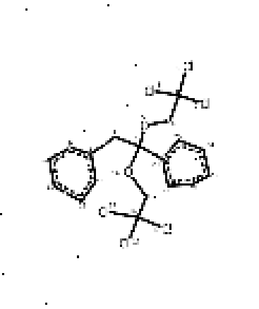 ClC(Cl)(Cl)COC(Cc1ccccc1)(OCC(Cl)(Cl)Cl)c1ccccc1